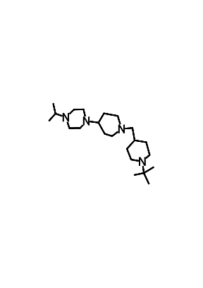 CC(C)N1CCN(C2CCN(CC3CCN(C(C)(C)C)CC3)CC2)CC1